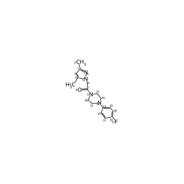 Cc1cc(C)n(CC(=O)N2CCN(c3ccc(F)cc3)CC2)n1